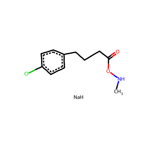 CNOC(=O)CCCc1ccc(Cl)cc1.[NaH]